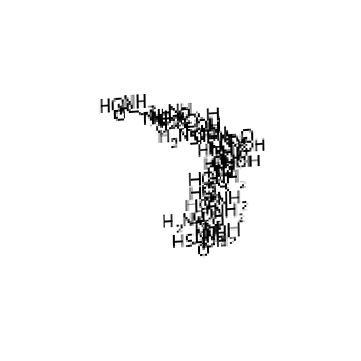 CC(C)C[C@H](N)C(=O)O.C[C@H](N)C(=O)OC[C@H](N)C(=O)OC(=O)[C@@H](N)CS.NCC(=O)O.NCC(=O)O.NCC(=O)OC[C@H](N)C(=O)O.NCCCC[C@H](N)C(=O)O.N[C@@H](CS)C(=O)O.N[C@@H](Cc1c[nH]cn1)C(=O)O.N[C@@H](Cc1c[nH]cn1)C(=O)O.O=C(O)[C@@H]1CCCN1.O=C(O)[C@@H]1CCCN1